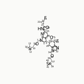 COc1c(-c2cn(COCC[Si](C)(C)C)c3nc(NC(=O)[C@@H]4C[C@@H]4F)ccc23)cc2c(ncn2COCC[Si](C)(C)C)c1F